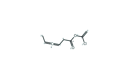 C=C(Cl)OC(=O)CC=C=CC